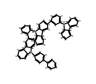 c1ccc(-c2ccc(-n3c4ccccc4c4cc(-c5ccccc5-n5c6ccccc6c6cc(-c7cccc(-n8c9ccccc9c9ccccc98)c7)ccc65)ccc43)cc2)cc1